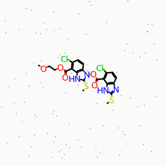 COCCOC(=O)c1c(Cl)ccc2c1NC(SC)N2OC(=O)c1c(Cl)ccc2nc(SC)[nH]c12